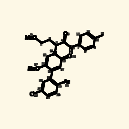 COCCC(C(=O)Nc1ccc(C)cc1)n1cc(OC)c(-c2cc(Cl)ccc2C(C)=O)cc1=O